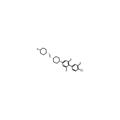 C[C@H]1CC[C@H](CC[C@H]2CC[C@H](c3cc(F)c(-c4ccc(Cl)c(F)c4)c(F)c3)CC2)CC1